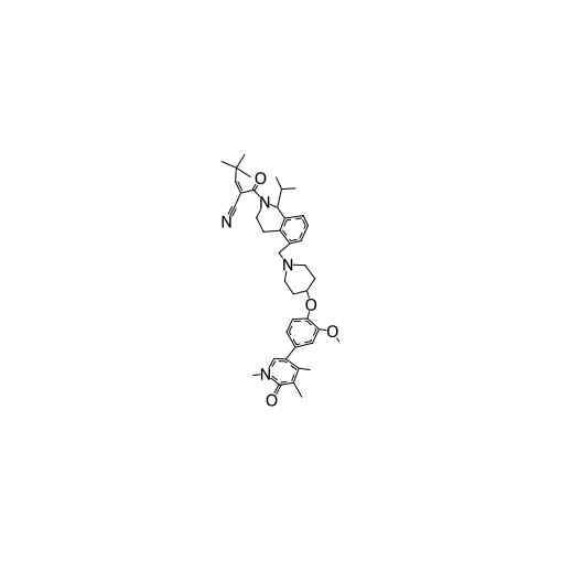 COc1cc(-c2cn(C)c(=O)c(C)c2C)ccc1OC1CCN(Cc2cccc3c2CCN(C(=O)/C(C#N)=C\C(C)(C)C)C3C(C)C)CC1